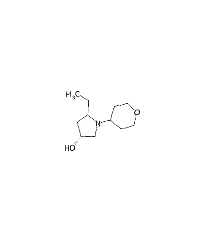 CCC1C[C@@H](O)CN1C1CCOCC1